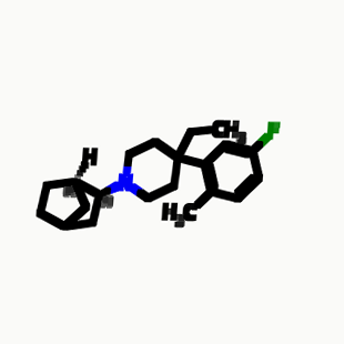 CCC1(c2cc(F)ccc2C)CCN([C@H]2CC3CC[C@@H]2C3)CC1